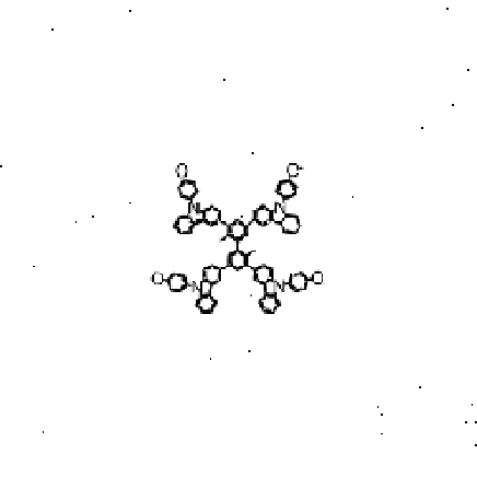 COc1ccc(N2c3ccc(-c4cc(-c5ccc6c(c5)c5ccccc5n6-c5ccc(OC)cc5)c(C)c(-c5cc(-c6ccc7c(c6)c6ccccc6n7-c6ccc(OC)cc6)cc(-c6ccc7c(c6)c6ccccc6n7-c6ccc(OC)cc6)c5C)c4)cc3C3C=CC=CC32)cc1